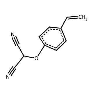 C=Cc1ccc(OC(C#N)C#N)cc1